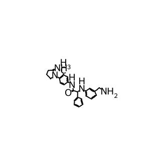 Cc1cc(NC(=O)C(Nc2cccc(CN)c2)c2ccccc2)ccc1N1CCCC1=N